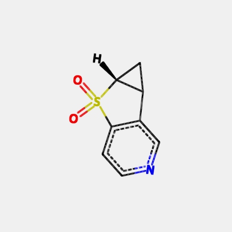 O=S1(=O)c2ccncc2C2C[C@H]21